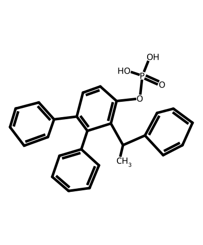 CC(c1ccccc1)c1c(OP(=O)(O)O)ccc(-c2ccccc2)c1-c1ccccc1